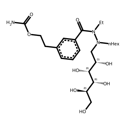 CCCCCCN(C[C@H](O)[C@@H](O)[C@H](O)[C@H](O)CO)N(CC)C(=O)c1cccc(CCOC(N)=O)c1